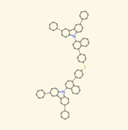 c1ccc(-c2ccc3c(c2)c2cc(-c4ccccc4)ccc2n3-c2ccc(-c3ccc(Sc4ccc(-c5ccc(-n6c7ccc(-c8ccccc8)cc7c7cc(-c8ccccc8)ccc76)c6ccccc56)cc4)cc3)c3ccccc23)cc1